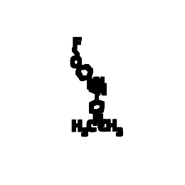 CN(C)c1ccc(-c2cn(-c3ccc(OCCF)cc3)nn2)cc1